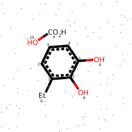 CCc1cccc(O)c1O.O=C(O)O